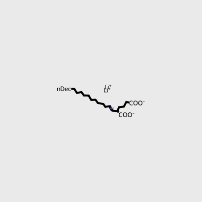 CCCCCCCCCCCCCCCCCCCC/C=C/C(CCCC(=O)[O-])C(=O)[O-].[Li+].[Li+]